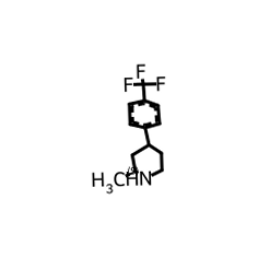 C[C@H]1CC(c2ccc(C(F)(F)F)cc2)CCN1